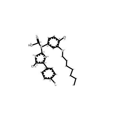 CCCCCCCOc1cc(N(C(=O)O)c2nc(-c3ccc(F)cc3)c(Cl)s2)ccc1Cl